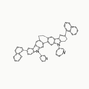 C1=C(c2cccc3ccccc23)CCc2c1c1cc3c(cc1n2-c1cccnc1)-c1cc2c(cc1CC3)c1cc(-c3cccc4ccccc34)ccc1n2-c1cccnc1